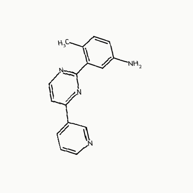 Cc1ccc(N)cc1-c1nccc(-c2cccnc2)n1